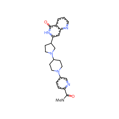 CNC(=O)c1ccc(N2CCC(N3CCC(c4cc5ncccc5c(=O)[nH]4)C3)CC2)cn1